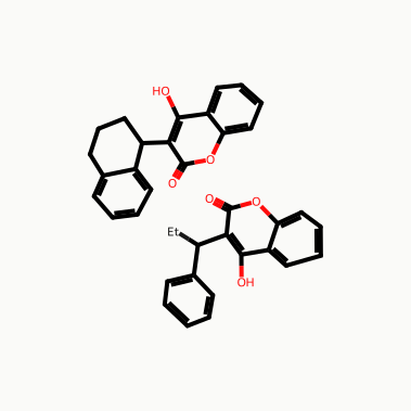 CCC(c1ccccc1)c1c(O)c2ccccc2oc1=O.O=c1oc2ccccc2c(O)c1C1CCCc2ccccc21